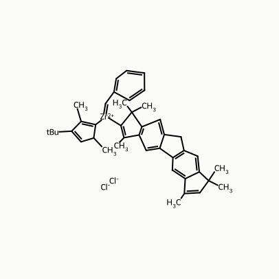 CC1=CC(C)(C)c2cc3c(cc21)-c1cc2c(cc1C3)C(C)(C)[C]([Zr+2](=[CH]c1ccccc1)[C]1=C(C)C(C(C)(C)C)=CC1C)=C2C.[Cl-].[Cl-]